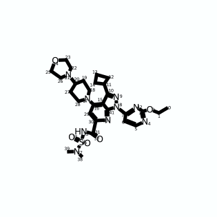 CCOc1nccc(-n2nc(C3CCC3)c3c(N4CCC(N5CCOCC5)CC4)cc(C(=O)NS(=O)(=O)N(C)C)nc32)n1